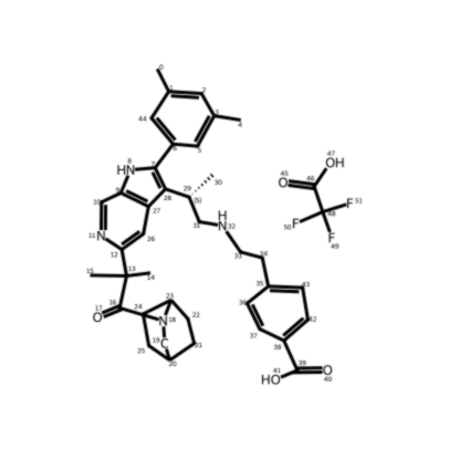 Cc1cc(C)cc(-c2[nH]c3cnc(C(C)(C)C(=O)N4CC5CCC4CC5)cc3c2[C@H](C)CNCCc2ccc(C(=O)O)cc2)c1.O=C(O)C(F)(F)F